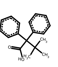 CC(C)(C)C(C(=O)O)(c1ccccc1)c1ccccc1